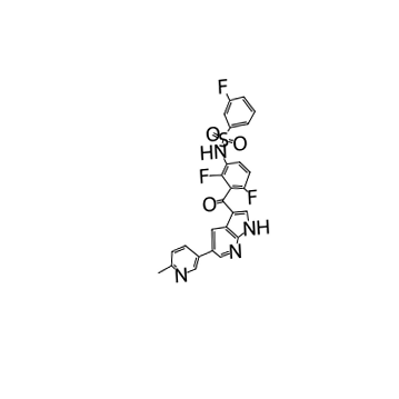 Cc1ccc(-c2cnc3[nH]cc(C(=O)c4c(F)ccc(NS(=O)(=O)c5cccc(F)c5)c4F)c3c2)cn1